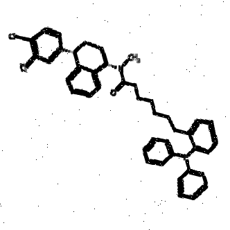 CN(C(=O)CCCCCCc1ccccc1P(c1ccccc1)c1ccccc1)[C@H]1CC[C@@H](c2ccc(Cl)c(Cl)c2)c2ccccc21